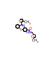 CC1=CCC(CNC(=O)c2ccc3c(c2)N=C(c2sccc2C)c2ccccc2S3)O1